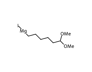 COC(CCCC[CH2][Mg][I])OC